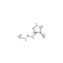 O=C1OCCN1CCCCl